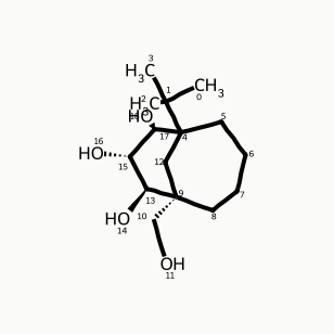 CC(C)(C)C12CCCC[C@](CO)(C1)[C@@H](O)[C@H](O)[C@H]2O